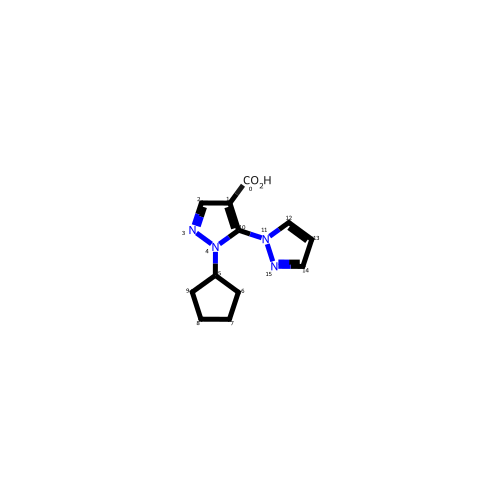 O=C(O)c1cnn(C2CCCC2)c1-n1cccn1